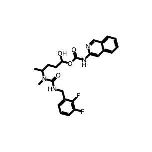 CC(CCC(O)OC(=O)Nc1cc2ccccc2cn1)N(C)C(=O)NCc1cccc(F)c1F